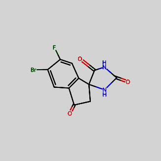 O=C1NC(=O)C2(CC(=O)c3cc(Br)c(F)cc32)N1